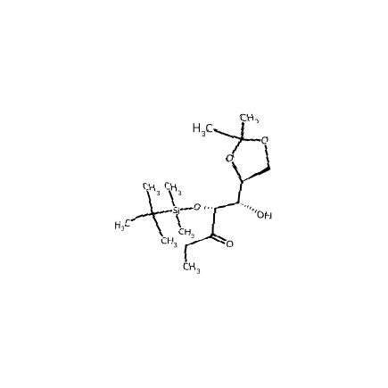 CCC(=O)[C@H](O[Si](C)(C)C(C)(C)C)[C@@H](O)[C@@H]1COC(C)(C)O1